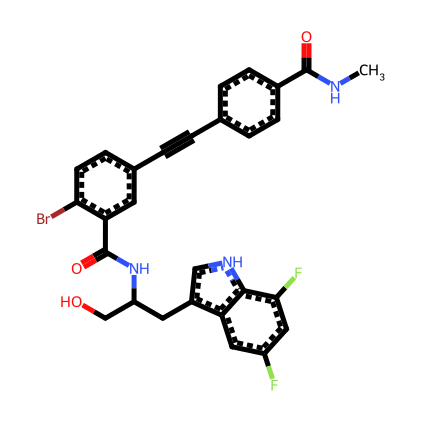 CNC(=O)c1ccc(C#Cc2ccc(Br)c(C(=O)NC(CO)Cc3c[nH]c4c(F)cc(F)cc34)c2)cc1